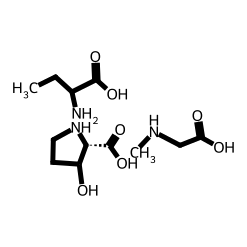 CCC(N)C(=O)O.CNCC(=O)O.O=C(O)[C@H]1NCCC1O